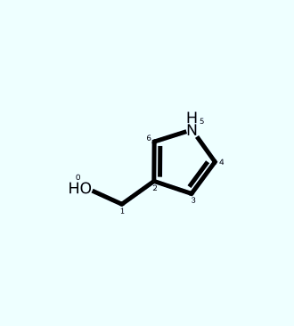 OCc1cc[nH]c1